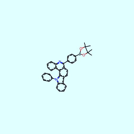 CC1(C)OB(c2ccc(-c3nc4ccccc4c4c3ccc3c5ccccc5n(-c5ccccc5)c34)cc2)OC1(C)C